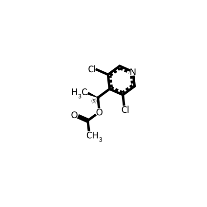 CC(=O)O[C@@H](C)c1c(Cl)cncc1Cl